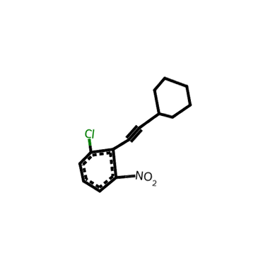 O=[N+]([O-])c1cccc(Cl)c1C#CC1CCCCC1